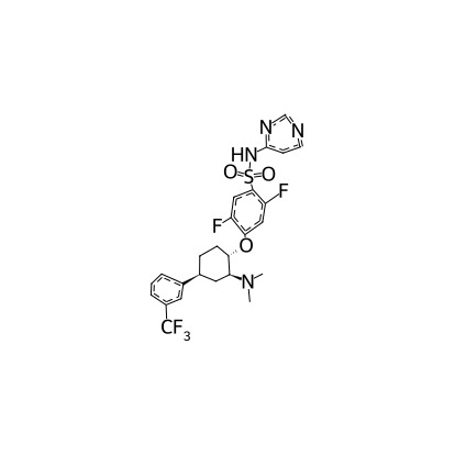 CN(C)[C@H]1C[C@@H](c2cccc(C(F)(F)F)c2)CC[C@@H]1Oc1cc(F)c(S(=O)(=O)Nc2ccncn2)cc1F